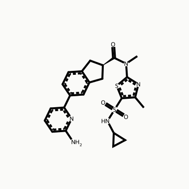 Cc1nc(N(C)C(=O)[C@@H]2Cc3ccc(-c4cccc(N)n4)cc3C2)sc1S(=O)(=O)NC1CC1